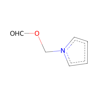 O=COCn1cccc1